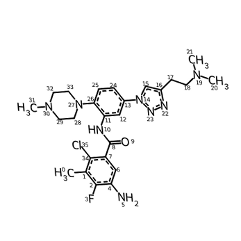 Cc1c(F)c(N)cc(C(=O)Nc2cc(-n3cc(CCN(C)C)nn3)ccc2N2CCN(C)CC2)c1Cl